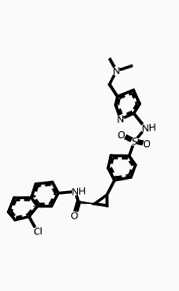 CN(C)Cc1ccc(NS(=O)(=O)c2ccc(C3C[C@H]3C(=O)Nc3ccc4cccc(Cl)c4c3)cc2)nc1